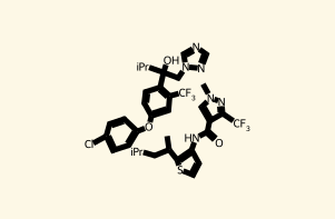 CC(C)C(O)(Cn1cncn1)c1ccc(Oc2ccc(Cl)cc2)cc1C(F)(F)F.CC(C)CC(C)c1sccc1NC(=O)c1cn(C)nc1C(F)(F)F